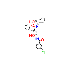 O=C(NC[C@@H](O)C[C@@H](Cc1ccccc1)C(=O)N[C@H]1c2ccccc2C[C@H]1O)c1cccc(CCl)c1